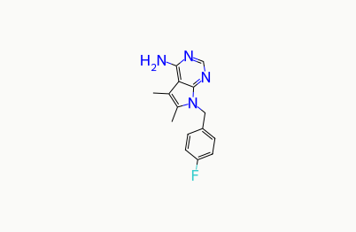 Cc1c(C)n(Cc2ccc(F)cc2)c2ncnc(N)c12